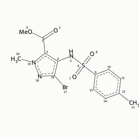 COC(=O)c1c(NS(=O)(=O)c2ccc(C)cc2)c(Br)nn1C